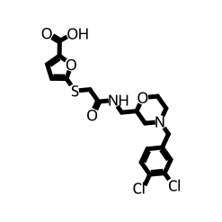 O=C(CSc1ccc(C(=O)O)o1)NCC1CN(Cc2ccc(Cl)c(Cl)c2)CCO1